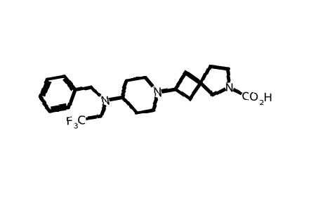 O=C(O)N1CCC2(CC(N3CCC(N(Cc4ccccc4)CC(F)(F)F)CC3)C2)C1